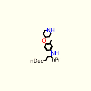 CCCCCCCCCCCCC(CCC)Nc1ccc(OC2CCNCC2)c(C)c1